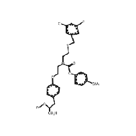 CCOC(Cc1ccc(OCCN(CCOCc2cc(Cl)cc(Cl)c2)C(=O)Oc2ccc(OC)cc2)cc1)C(=O)O